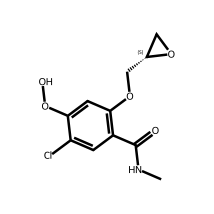 CNC(=O)c1cc(Cl)c(OO)cc1OC[C@@H]1CO1